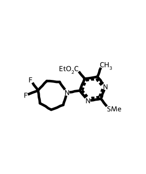 CCOC(=O)c1c(C)nc(SC)nc1N1CCCC(F)(F)CC1